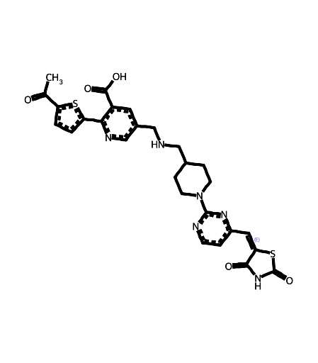 CC(=O)c1ccc(-c2ncc(CNCC3CCN(c4nccc(/C=C5/SC(=O)NC5=O)n4)CC3)cc2C(=O)O)s1